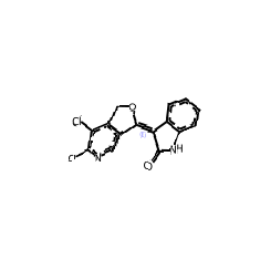 O=C1Nc2ccccc2/C1=C1\OCc2c1cnc(Cl)c2Cl